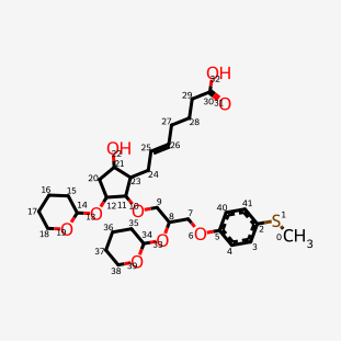 CSc1ccc(OCC(COC2C(OC3CCCCO3)CC(O)C2CC=CCCCC(=O)O)OC2CCCCO2)cc1